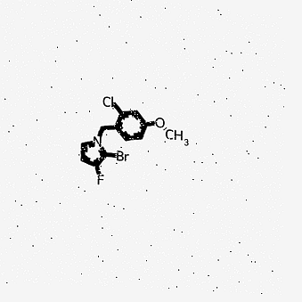 COc1ccc(Cn2ccc(F)c2Br)c(Cl)c1